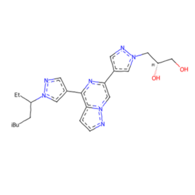 CCC(C)CC(CC)n1cc(-c2nc(-c3cnn(C[C@@H](O)CO)c3)cn3nccc23)cn1